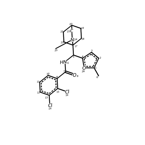 Cc1ccc(C(NC(=O)c2cccc(Cl)c2Cl)C23CCC(CC2)CN3C)o1